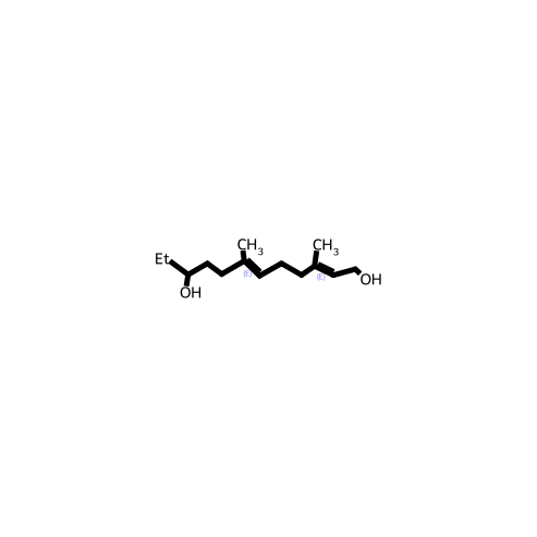 CCC(O)CC/C(C)=C/CC/C(C)=C/CO